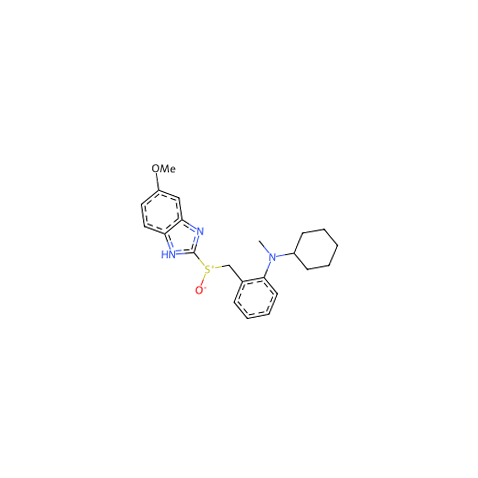 COc1ccc2[nH]c([S+]([O-])Cc3ccccc3N(C)C3CCCCC3)nc2c1